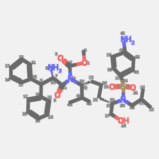 COC(=O)N(C(=O)[C@@H](N)C(c1ccccc1)c1ccccc1)[C@H](CCC[C@@H](CO)N(CC(C)C)S(=O)(=O)c1ccc(N)cc1)C(C)C